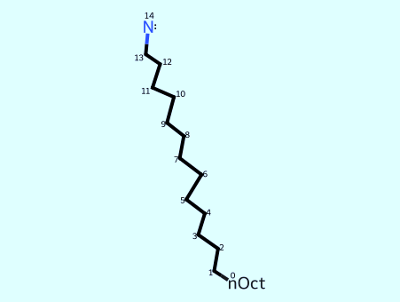 CCCCCCCCCCCCCCCCCCCCC[N]